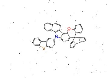 c1ccc2c(c1)Oc1c(ccc3c1c1ccc4ccccc4c1n3-c1ccc3sc4ccccc4c3c1)C21c2ccccc2-c2ccccc21